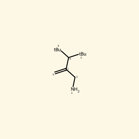 C=C(CN)C(C(C)(C)C)C(C)(C)C